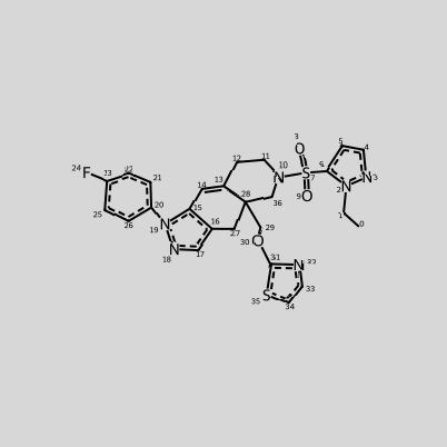 CCn1nccc1S(=O)(=O)N1CCC2=Cc3c(cnn3-c3ccc(F)cc3)CC2(COc2nccs2)C1